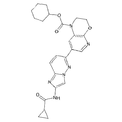 O=C(Nc1cn2nc(-c3cnc4c(c3)N(C(=O)OC3CCCCC3)CCO4)ccc2n1)C1CC1